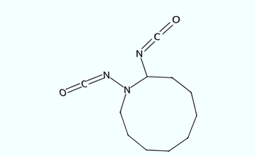 O=C=NC1CCCCCCCCN1N=C=O